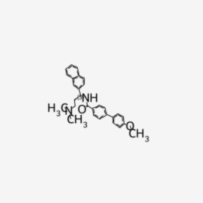 COc1ccc(-c2ccc(C(=O)N[C@@H](CCN(C)C)c3ccc4ccccc4c3)cc2)cc1